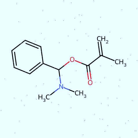 C=C(C)C(=O)OC(c1ccccc1)N(C)C